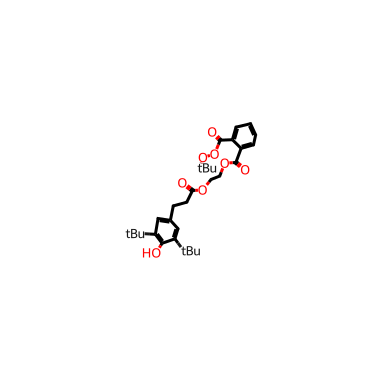 CC(C)(C)OOC(=O)c1ccccc1C(=O)OCCOC(=O)CCc1cc(C(C)(C)C)c(O)c(C(C)(C)C)c1